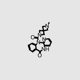 CN1CC2(C1)CN(C(=O)N1c3ccccc3C(=O)Nc3cccnc31)C2